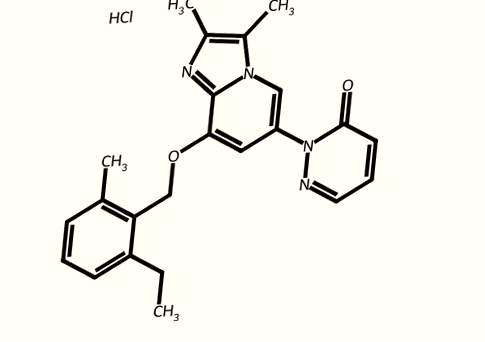 CCc1cccc(C)c1COc1cc(-n2ncccc2=O)cn2c(C)c(C)nc12.Cl